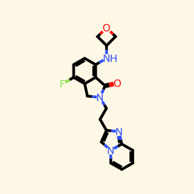 O=C1c2c(NC3COC3)ccc(F)c2CN1CCc1cn2ccccc2n1